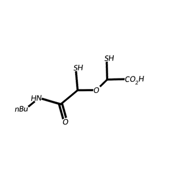 CCCCNC(=O)C(S)OC(S)C(=O)O